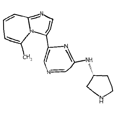 Cc1cccc2ncc(-c3cncc(N[C@@H]4CCNC4)n3)n12